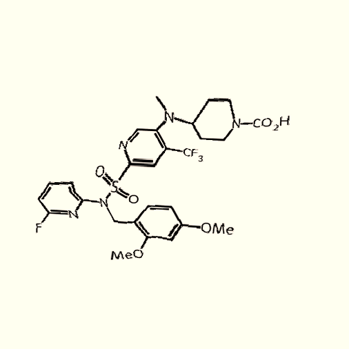 COc1ccc(CN(c2cccc(F)n2)S(=O)(=O)c2cc(C(F)(F)F)c(N(C)C3CCN(C(=O)O)CC3)cn2)c(OC)c1